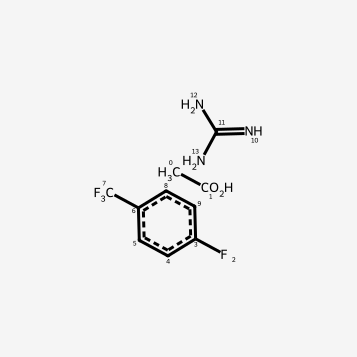 CC(=O)O.Fc1ccc(C(F)(F)F)cc1.N=C(N)N